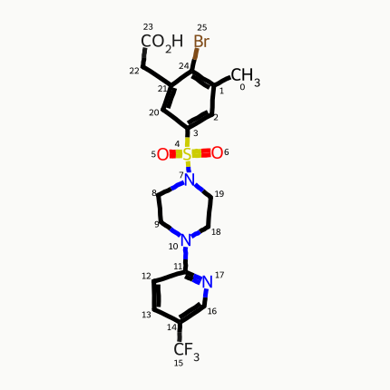 Cc1cc(S(=O)(=O)N2CCN(c3ccc(C(F)(F)F)cn3)CC2)cc(CC(=O)O)c1Br